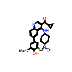 CCN(CC)[C@H]1CC[C@H](Nc2c(C(=O)C3CC3)cnc3ccc(-c4cc(Cl)c(O)c(OC)c4)cc23)CC1